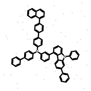 c1ccc(-c2ccc(N(c3ccc(-c4ccc(-c5cccc6ccccc56)cc4)cc3)c3cccc(-c4cccc5c4c4ccc(-c6ccccc6)cc4n5-c4ccccc4)c3)cc2)cc1